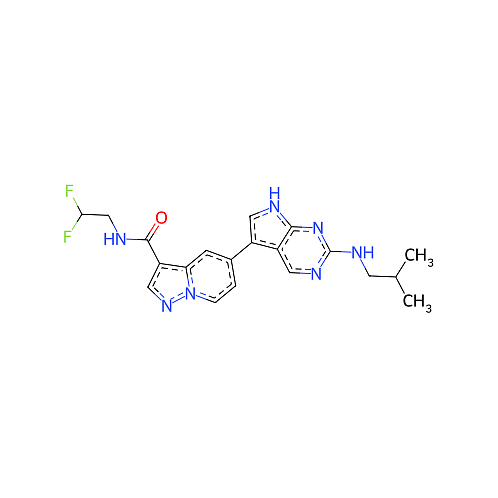 CC(C)CNc1ncc2c(-c3ccn4ncc(C(=O)NCC(F)F)c4c3)c[nH]c2n1